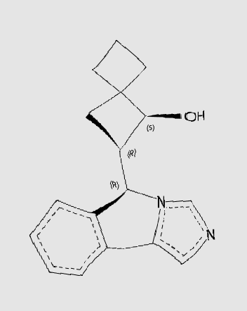 O[C@H]1[C@@H]([C@@H]2c3ccccc3-c3cncn32)CC12CCC2